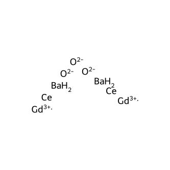 [BaH2].[BaH2].[Ce].[Ce].[Gd+3].[Gd+3].[O-2].[O-2].[O-2]